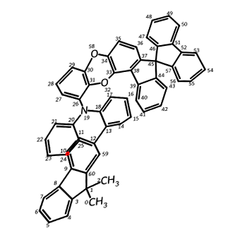 CC1(C)c2ccccc2-c2ccc(-c3ccccc3N(c3ccccc3)c3cccc4c3Oc3c(ccc5c3-c3ccccc3C53c5ccccc5-c5ccccc53)O4)cc21